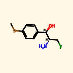 CSc1ccc([C@@H](O)[C@@H](N)CF)cc1